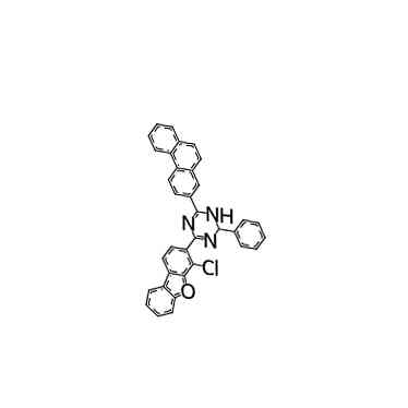 Clc1c(C2=NC(c3ccccc3)NC(c3ccc4c(ccc5ccccc54)c3)=N2)ccc2c1oc1ccccc12